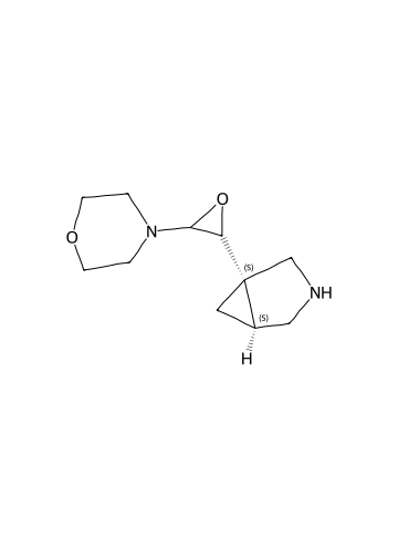 C1CN(C2OC2[C@]23CNC[C@H]2C3)CCO1